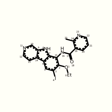 CCOc1c(I)cc2c([nH]c3cnccc32)c1NC(=O)c1cccnc1C